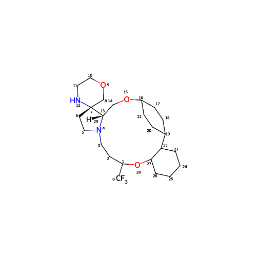 FC(F)(F)C1CCN2CC[C@@]3(COCCN3)[C@@H]2COC2CCC(CC2)C2CCCCC2O1